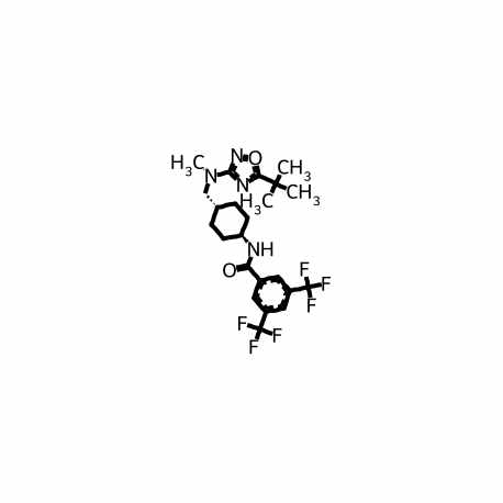 CN(C[C@H]1CC[C@H](NC(=O)c2cc(C(F)(F)F)cc(C(F)(F)F)c2)CC1)c1noc(C(C)(C)C)n1